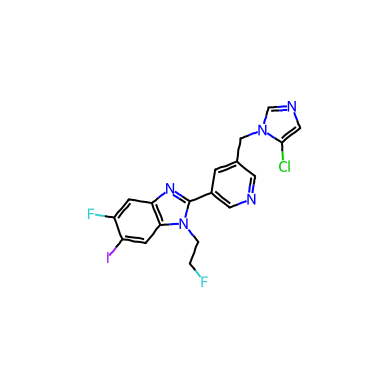 FCCn1c(-c2cncc(Cn3cncc3Cl)c2)nc2cc(F)c(I)cc21